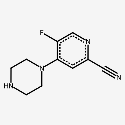 N#Cc1cc(N2CCNCC2)c(F)cn1